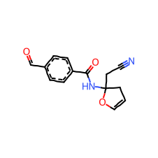 N#CCC1(NC(=O)c2ccc(C=O)cc2)CC=CO1